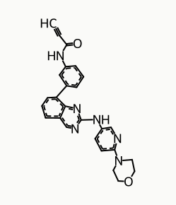 C#CC(=O)Nc1cccc(-c2cccc3cnc(Nc4ccc(N5CCOCC5)nc4)nc23)c1